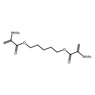 C=C(NC(C)=O)C(=O)OCCCCCOC(=O)C(=C)NC(C)=O